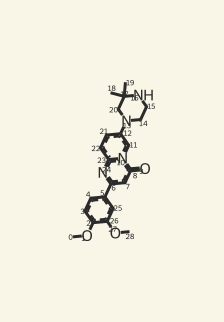 COc1ccc(-c2cc(=O)n3cc(N4CCNC(C)(C)C4)ccc3n2)cc1OC